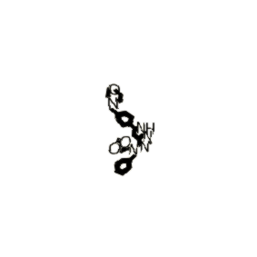 C1=C(N(Cc2ccccc2)c2ncnc3[nH]c(-c4ccc(CN5CCOCC5)cc4)cc23)OCO1